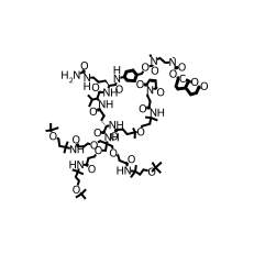 CC(C)C(NC(=O)CC[C@H](NC(=O)CCC(C)(C)OCCC(C)(C)NC(=O)CCN1C(=O)C=CC1=O)C(=O)NC(COCCC(=O)NC(C)(C)CCOC(C)(C)C)(COCCC(=O)NC(C)(C)CCOC(C)(C)C)COCCC(=O)NC(C)(C)CCOC(C)(C)C)C(=O)N[C@@H](CCCNC(N)=O)C(=O)Nc1ccc(COC(=O)N(C)CCN(C)C(=O)Oc2ccc3ccc(=O)oc3c2)cc1